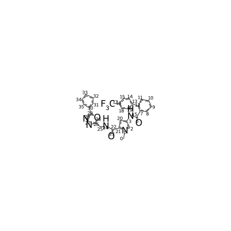 Cn1cc(NC(=O)c2ccccc2-c2ccc(C(F)(F)F)cc2)cc1C(=O)NCc1nnc(-c2ccccc2)o1